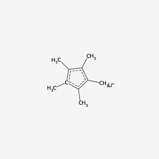 Cc1c(C)c(C)[c-](C)c1C.[Li+]